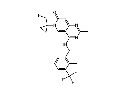 Cc1nc(NCc2cccc(C(F)(F)F)c2C)c2cn(C3(CF)CC3)c(=O)cc2n1